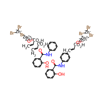 C=CC(=O)O.C=CC(=O)O.C=CC(=O)O.O=C(Nc1ccccc1)c1ccccc1O.O=C(Nc1ccccc1)c1ccccc1O.[Br][Zn-]([Br])[Br].[Br][Zn-]([Br])[Br].[O-2].[O-2].[Zn+2].[Zn+2].[Zn+2].[Zn+2]